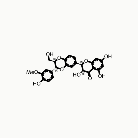 COc1cc([C@H]2Oc3cc([C@H]4Oc5cc(O)cc(O)c5C(=O)[C@H]4O)ccc3O[C@@H]2CO)ccc1O